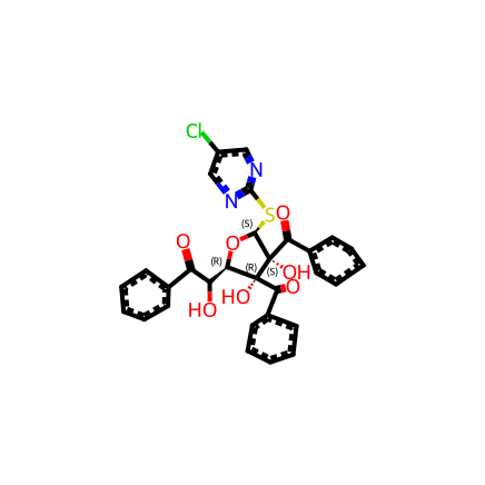 O=C(c1ccccc1)C(O)[C@H]1O[C@@H](Sc2ncc(Cl)cn2)[C@@](O)(C(=O)c2ccccc2)[C@@]1(O)C(=O)c1ccccc1